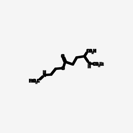 CCOC(=O)NCCOC(=O)CCC(NC(=O)OCC)C(=O)O